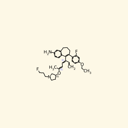 C=C/C(=C\C=C(/C)O[C@H]1CCN(CCCF)C1)C1=C(c2ccc(OCC)cc2F)CCCc2cc(N)ccc21